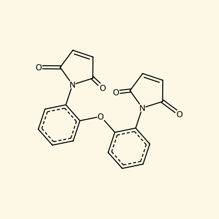 O=C1C=CC(=O)N1c1ccccc1Oc1ccccc1N1C(=O)C=CC1=O